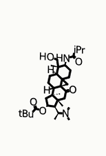 CC(C)C(=O)N[C@H]1CCC23C[C@]24C(=O)C[C@]2(C)[C@@H]([C@H](C)N(C)C)[C@H](OC(=O)C(C)(C)C)C[C@@]2(C)[C@@H]4CC[C@H]3[C@]1(C)CO